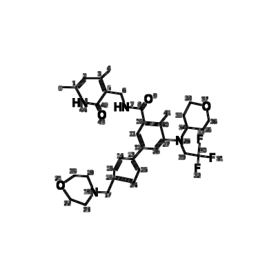 Cc1cc(C)c(CNC(=O)c2cc(-c3ccc(CN4CCOCC4)cc3)cc(N(CC(F)(F)F)C3CCOCC3)c2C)c(=O)[nH]1